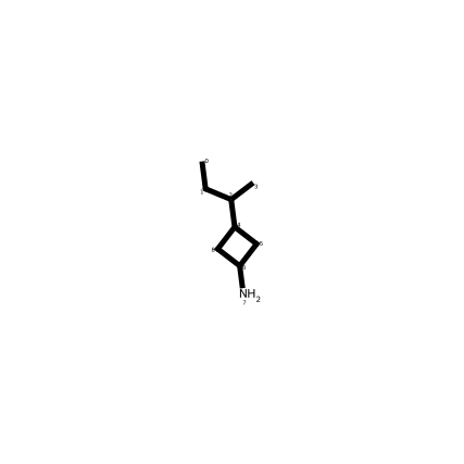 CCC(C)C1CC(N)C1